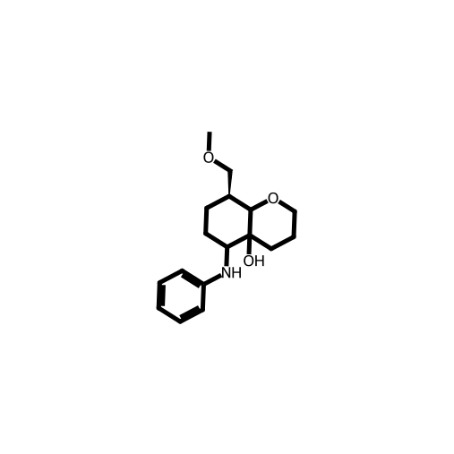 COC[C@@H]1CCC(Nc2ccccc2)C2(O)CCCOC12